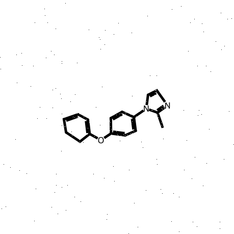 Cc1nccn1-c1ccc(OC2=CC=CCC2)cc1